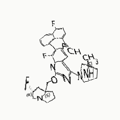 C#Cc1ccc(F)c2cccc(-c3c(F)cc4c(N5CC6CC[C@@](C)(C5)N6)nc(OC[C@@]56CCCN5C[C@H](F)C6)nc4c3F)c12